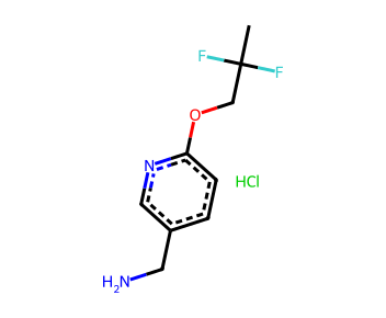 CC(F)(F)COc1ccc(CN)cn1.Cl